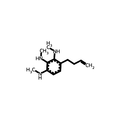 C=CCCc1ccc(NC)c(NC)c1NC